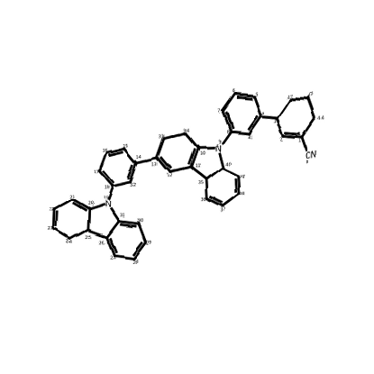 N#CC1=CC(c2cccc(N3C4=C(C=C(c5cccc(N6C7=CC=CCC7c7ccccc76)c5)CC4)C4C=CC=CC43)c2)CCC1